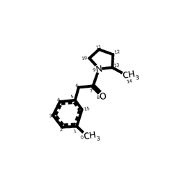 Cc1cccc(CC(=O)N2CCCC2C)c1